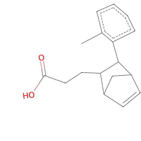 Cc1ccccc1C1C2C=CC(C2)C1CCC(=O)O